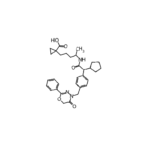 CC(CCCC1(C(=O)O)CC1)NC(=O)C(c1ccc(CN2N=C(c3ccccc3)OCC2=O)cc1)C1CCCC1